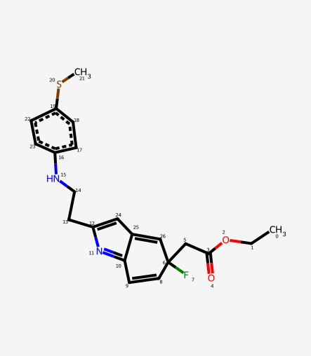 CCOC(=O)CC1(F)C=CC2=NC(CCNc3ccc(SC)cc3)=CC2=C1